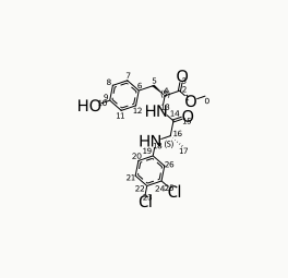 COC(=O)[C@H](Cc1ccc(O)cc1)NC(=O)[C@H](C)Nc1ccc(Cl)c(Cl)c1